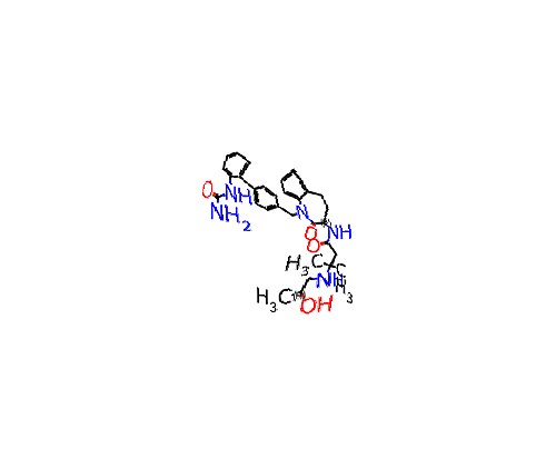 C[C@@H](O)CNC(C)(C)CC(=O)N[C@@H]1CCc2ccccc2N(Cc2ccc(-c3ccccc3NC(N)=O)cc2)C1=O